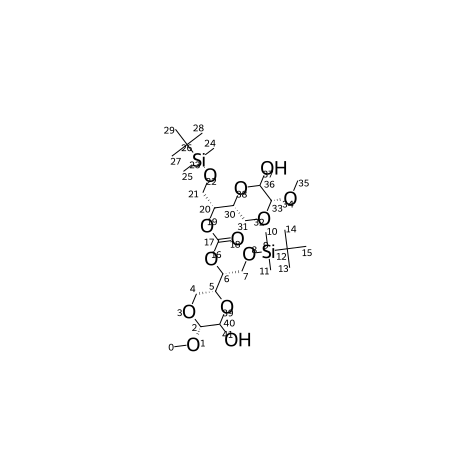 CO[C@@H]1OC[C@H]([C@@H](CO[Si](C)(C)C(C)(C)C)OC(=O)O[C@H](CO[Si](C)(C)C(C)(C)C)[C@H]2CO[C@@H](OC)C(O)O2)OC1O